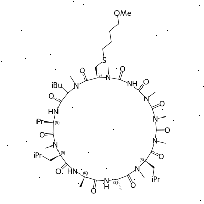 CCC(C)C1C(=O)N[C@H](C(C)C)C(=O)N(C)[C@H](CC(C)C)C(=O)N[C@H](C)C(=O)N[C@@H](C)C(=O)N(C)[C@H](CC(C)C)C(=O)N(C)C(=O)N(C)C(=O)N(C)C(=O)NC(=O)N(C)[C@H](CSCCCCOC)C(=O)N1C